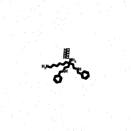 Cl.Cl.Cl.Cl.NCCCCCCC(N)(CCNCc1ccccc1)CCNCc1ccccc1